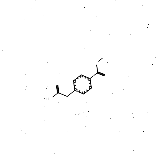 O=C(O)Cc1ccc(C(=O)OP)cc1